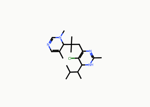 CC1=CN=CN(C)C1C(C)(C)CC1=C(Cl)C(C(C)C(C)C)NC(C)=N1